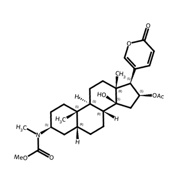 COC(=O)N(C)[C@H]1CC[C@@]2(C)[C@H](CC[C@@H]3[C@@H]2CC[C@]2(C)[C@@H](c4ccc(=O)oc4)[C@@H](OC(C)=O)C[C@]32O)C1